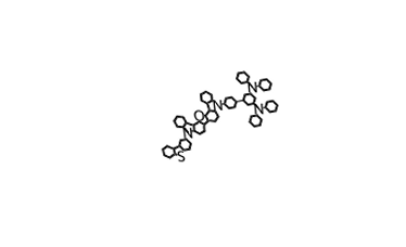 c1ccc(N(c2ccccc2)c2cc(-c3ccc(-n4c5ccccc5c5c6oc7c(ccc8c7c7ccccc7n8-c7ccc8sc9ccccc9c8c7)c6ccc54)cc3)cc(N(c3ccccc3)c3ccccc3)c2)cc1